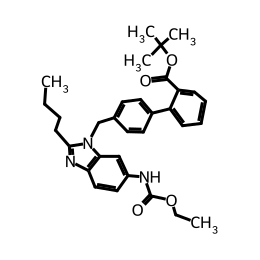 CCCCc1nc2ccc(NC(=O)OCC)cc2n1Cc1ccc(-c2ccccc2C(=O)OC(C)(C)C)cc1